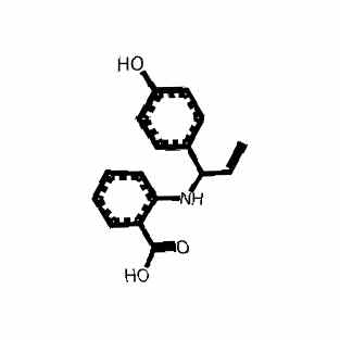 C=CC(Nc1ccccc1C(=O)O)c1ccc(O)cc1